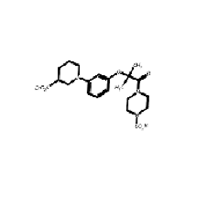 CCOC(=O)C1CCCN(c2cccc(OC(C)(C)C(=O)N3CCN(C(=O)O)CC3)c2)C1